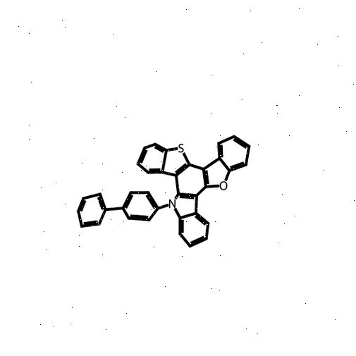 c1ccc(-c2ccc(-n3c4ccccc4c4c5oc6ccccc6c5c5sc6ccccc6c5c43)cc2)cc1